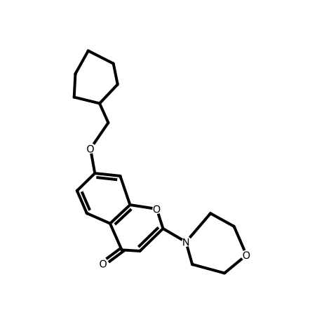 O=c1cc(N2CCOCC2)oc2cc(OCC3CCCCC3)ccc12